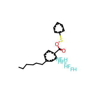 CCCCCCc1ccc(C(=O)OSc2ccccc2)cc1.F.F.F.F.F